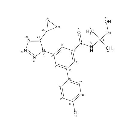 CC(C)(CO)NC(=O)c1cc(-c2ccc(Cl)cc2)cc(-n2nnnc2C2CC2)c1